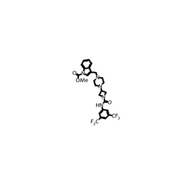 COC(=O)n1cc(CN2CCN(C3CN(C(=O)Nc4cc(C(F)(F)F)cc(C(F)(F)F)c4)C3)CC2)c2ccccc21